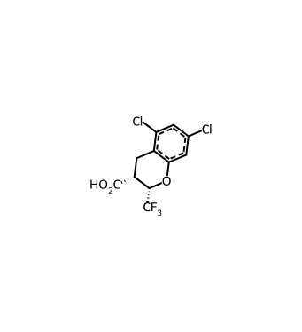 O=C(O)[C@@H]1Cc2c(Cl)cc(Cl)cc2O[C@@H]1C(F)(F)F